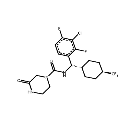 O=C1CN(C(=O)NC(c2ccc(F)c(Cl)c2F)[C@H]2CC[C@H](C(F)(F)F)CC2)CCN1